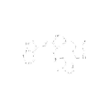 Cc1ccsc1OC(=O)Nc1cc(CN2CCNC[C@@H]2C)ccc1/C=C/c1n[nH]c2ccccc12